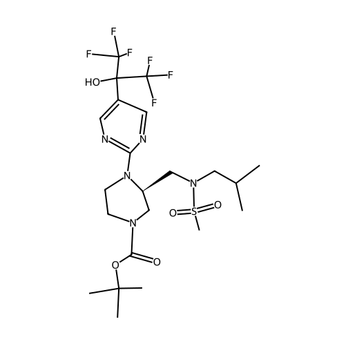 CC(C)CN(C[C@H]1CN(C(=O)OC(C)(C)C)CCN1c1ncc(C(O)(C(F)(F)F)C(F)(F)F)cn1)S(C)(=O)=O